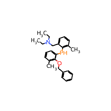 CCN(CC)Cc1cccc(C)c1Pc1cccc(C)c1OCc1ccccc1